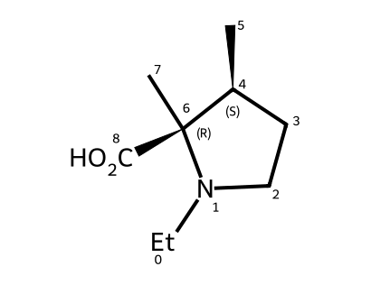 CCN1CC[C@H](C)[C@]1(C)C(=O)O